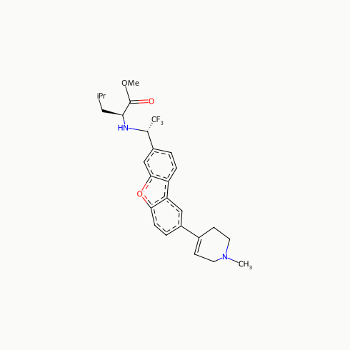 COC(=O)[C@H](CC(C)C)N[C@@H](c1ccc2c(c1)oc1ccc(C3=CCN(C)CC3)cc12)C(F)(F)F